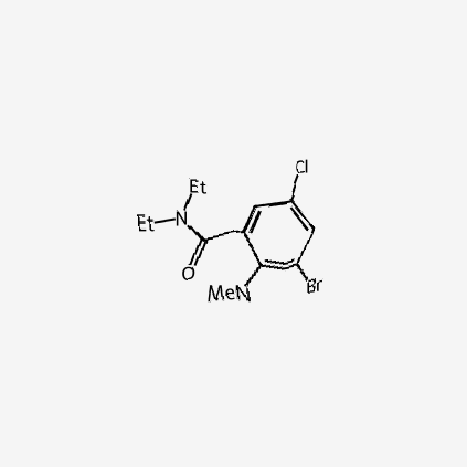 CCN(CC)C(=O)c1cc(Cl)cc(Br)c1NC